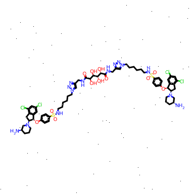 N[C@@H]1CCCN([C@H]2Cc3c(Cl)cc(Cl)cc3[C@@H]2Oc2ccc(S(=O)(=O)NCCCCCCn3cc(CNC(=O)[C@@H](O)[C@H](O)[C@H](O)[C@@H](O)C(=O)NCc4cn(CCCCCCNS(=O)(=O)c5ccc(O[C@H]6c7cc(Cl)cc(Cl)c7C[C@@H]6N6CCC[C@@H](N)C6)cc5)nn4)nn3)cc2)C1